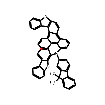 CC1(C)c2ccccc2-c2ccc(N(c3cccc4c3oc3ccccc34)c3cccc4c5ccc6oc7ccccc7c6c5c5ccccc5c34)cc21